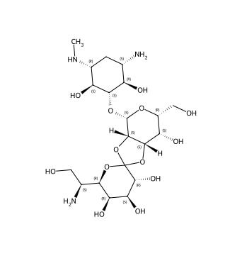 CN[C@@H]1C[C@H](N)[C@@H](O)[C@H](O[C@@H]2O[C@H](CO)[C@H](O)[C@@H]3OC4(O[C@H]23)O[C@H]([C@@H](N)CO)[C@H](O)[C@H](O)[C@H]4O)[C@H]1O